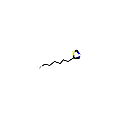 FC(F)(F)CCCCCCc1cncs1